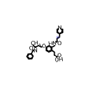 Cc1oc(-c2ccccc2)nc1CCOc1ccc(CCC(=O)O)c(CNC(=O)/C=C/c2ccncc2)c1